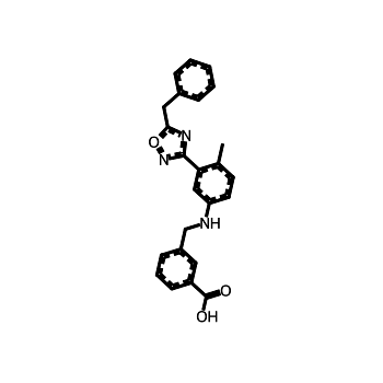 Cc1ccc(NCc2cccc(C(=O)O)c2)cc1-c1noc(Cc2ccccc2)n1